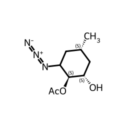 CC(=O)O[C@H]1C(N=[N+]=[N-])C[C@H](C)C[C@@H]1O